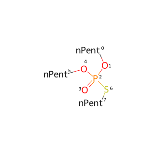 CCCCCOP(=O)(OCCCCC)SCCCCC